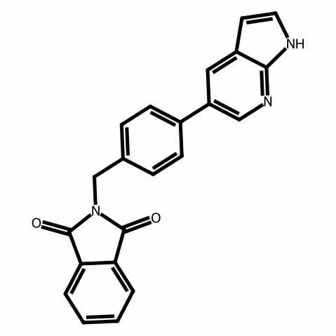 O=C1c2ccccc2C(=O)N1Cc1ccc(-c2cnc3[nH]ccc3c2)cc1